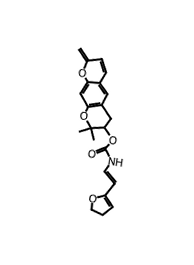 C=C1C=Cc2cc3c(cc2O1)OC(C)(C)C(OC(=O)N/C=C/C1=CCCO1)C3